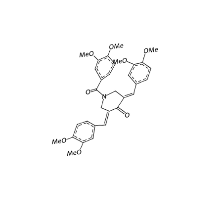 COc1ccc(C=C2CN(C(=O)c3ccc(OC)c(OC)c3)CC(=Cc3ccc(OC)c(OC)c3)C2=O)cc1OC